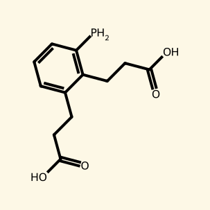 O=C(O)CCc1cccc(P)c1CCC(=O)O